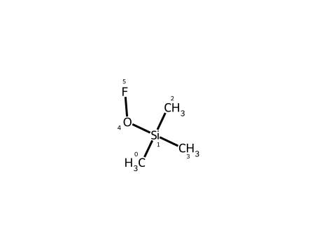 C[Si](C)(C)OF